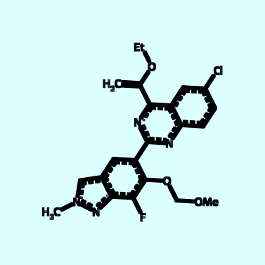 C=C(OCC)c1nc(-c2cc3cn(C)nc3c(F)c2OCOC)nc2ccc(Cl)cc12